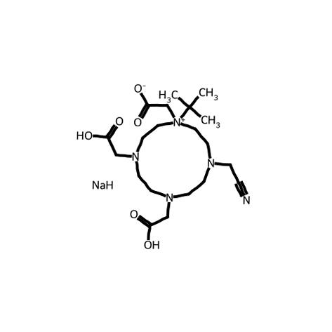 CC(C)(C)[N+]1(CC(=O)[O-])CCN(CC#N)CCN(CC(=O)O)CCN(CC(=O)O)CC1.[NaH]